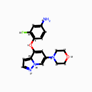 Nc1ccc(Oc2cc(N3CCOCC3)cn3nccc23)c(F)c1